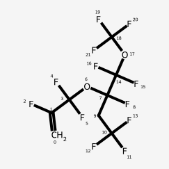 C=C(F)C(F)(F)OC(F)(CC(F)(F)F)C(F)(F)OC(F)(F)F